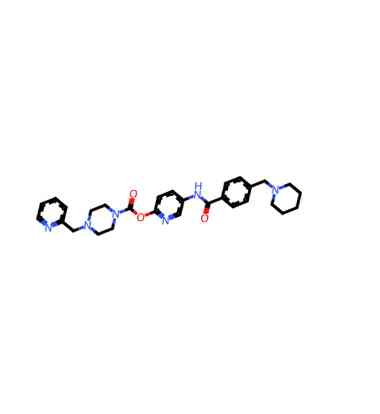 O=C(Nc1ccc(OC(=O)N2CCN(Cc3ccccn3)CC2)nc1)c1ccc(CN2CCCCC2)cc1